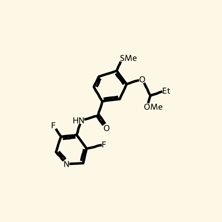 CCC(OC)Oc1cc(C(=O)Nc2c(F)cncc2F)ccc1SC